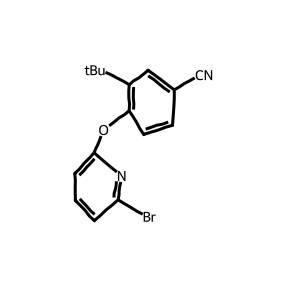 CC(C)(C)c1cc(C#N)ccc1Oc1cccc(Br)n1